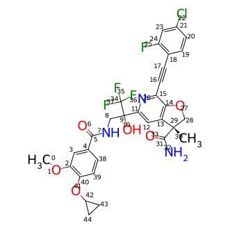 COc1cc(C(=O)NCC(O)(c2cc3c(c(C#Cc4ccc(Cl)cc4F)n2)OC[C@]3(C)C(N)=O)C(F)(F)F)ccc1OC1CC1